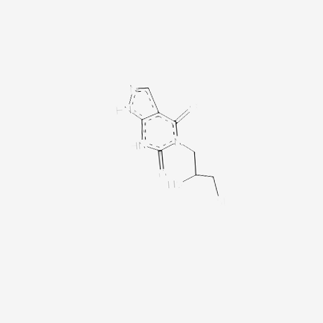 O=c1[nH]c2[nH]ncc2c(=O)n1CC(S)CS